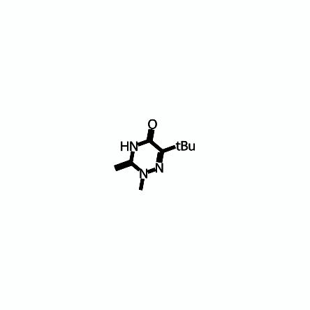 C=C1NC(=O)C(C(C)(C)C)=NN1C